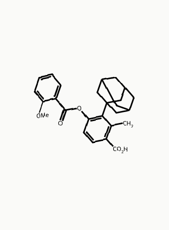 COc1ccccc1C(=O)Oc1ccc(C(=O)O)c(C)c1C12CC3CC(CC(C3)C1)C2